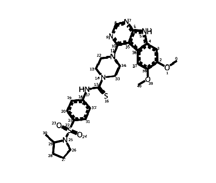 COc1cc2[nH]c3ncnc(N4CCN(C(=S)Nc5ccc(S(=O)(=O)N6CCCC6C)cc5)CC4)c3c2cc1OC